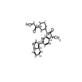 Cn1c(=O)n(C2CCCN(C(=O)CO)C2)c2nc(-c3cnn4ccccc34)ccc21